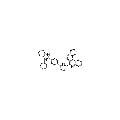 c1ccc(-n2c(-c3ccc(-c4cccc(-c5nc6ccccc6c6c5ccc5ccccc56)n4)cc3)nc3ccccc32)cc1